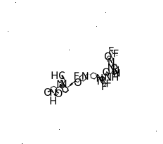 C#CCn1nc(C2CCC(=O)NC2=O)c2cccc(C#CCO[C@@H]3CCN(C[C@H]4CC[C@H](n5cc(NC(=O)c6cnn7ccc(N8CCO[C@H](C(F)F)C8)nc67)c(C(F)F)n5)CC4)C[C@@H]3F)c21